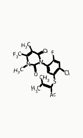 CC(=O)C(Sc1cc(-n2c(=O)c(C)c(C(F)(F)F)n(C)c2=O)c(F)cc1Cl)=C(C)C